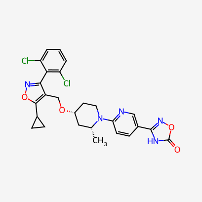 C[C@@H]1C[C@H](OCc2c(-c3c(Cl)cccc3Cl)noc2C2CC2)CCN1c1ccc(-c2noc(=O)[nH]2)cn1